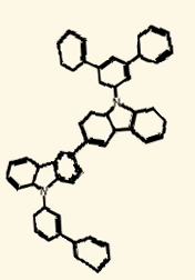 C1=CCC(C2=CC(N3c4ccc(C5=CC6C7C=CCCC7N(C7C=C(C8C=CC=CC8)C=C(C8=CCCCC8)C7)C6CC5)cc4C4C=CC=CC43)CC=C2)C=C1